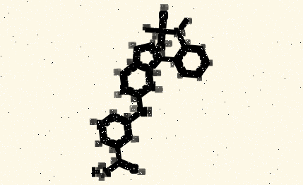 CN(c1ccccc1-c1ccc2cnc(Nc3cncc(C(N)=O)c3)nn12)S(C)(=O)=O